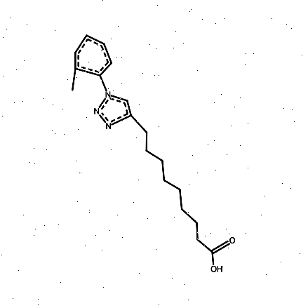 Cc1ccccc1-n1cc(CCCCCCCCC(=O)O)nn1